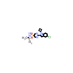 CC(C)NS(=O)(=O)c1cnc(-c2cc3cc(Cl)ccc3n2C2CCC2)nc1